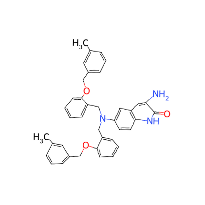 Cc1cccc(COc2ccccc2CN(Cc2ccccc2OCc2cccc(C)c2)c2ccc3[nH]c(=O)c(N)cc3c2)c1